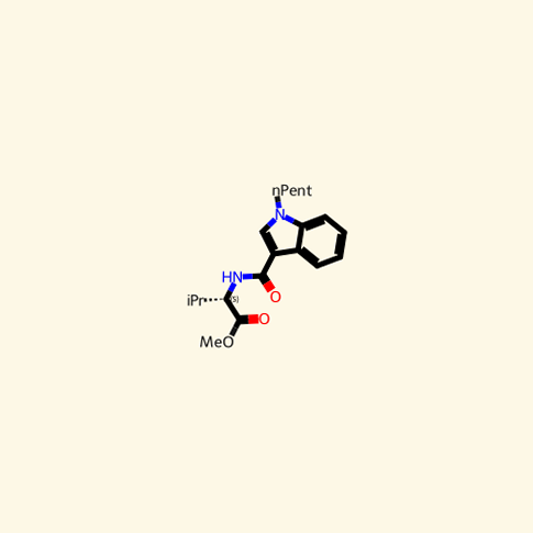 CCCCCn1cc(C(=O)N[C@H](C(=O)OC)C(C)C)c2ccccc21